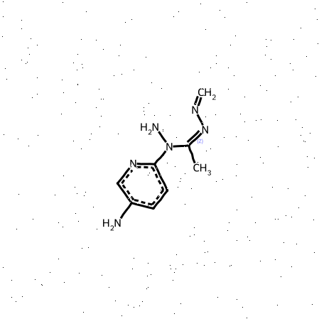 C=N/N=C(/C)N(N)c1ccc(N)cn1